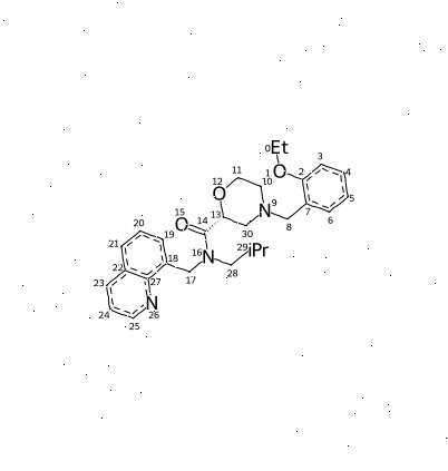 CCOc1ccccc1CN1CCO[C@@H](C(=O)N(Cc2cccc3cccnc23)CC(C)C)C1